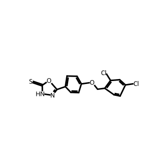 S=c1[nH]nc(-c2ccc(OCc3ccc(Cl)cc3Cl)cc2)o1